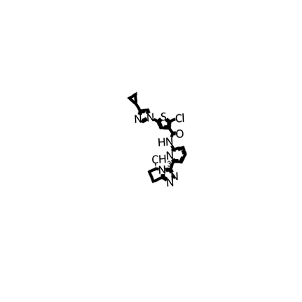 C[C@H]1CCc2nnc(-c3cccc(NC(=O)c4cc(-n5cnc(C6CC6)c5)sc4Cl)n3)n21